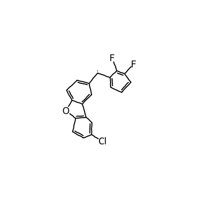 Fc1cccc([CH]c2ccc3oc4ccc(Cl)cc4c3c2)c1F